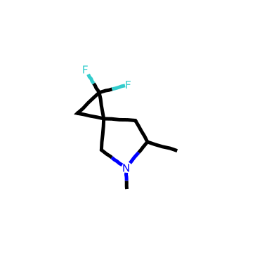 CC1CC2(CN1C)CC2(F)F